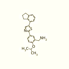 CC(C)Oc1ccc(-c2ncc(-c3cccc4c3CCC4)s2)cc1CN